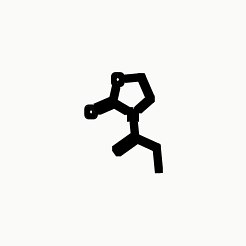 C=C(CC)N1CCOC1=O